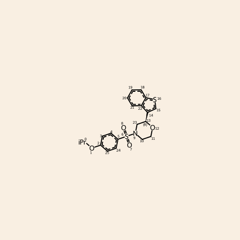 CC(C)Oc1ccc(S(=O)(=O)N2CCO[C@H](c3csc4ccccc34)C2)cc1